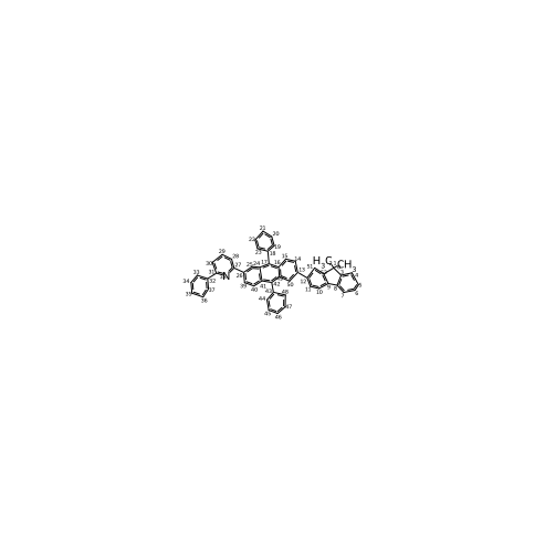 CC1(C)c2ccccc2-c2ccc(-c3ccc4c(-c5ccccc5)c5cc(-c6cccc(-c7ccccc7)n6)ccc5c(-c5ccccc5)c4c3)cc21